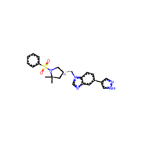 CC1(C)C[C@@H](Cn2cnc3cc(-c4cn[nH]c4)ccc32)CN1S(=O)(=O)c1ccccc1